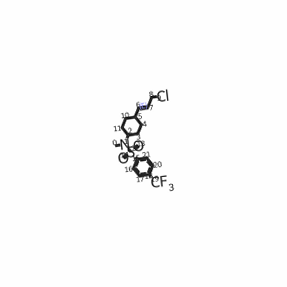 CN(C1CCC(/C=C/CCl)CC1)S(=O)(=O)c1ccc(C(F)(F)F)cc1